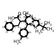 Cc1ccc(-c2c(C(Cc3ccccc3)C(=O)O)c(C)nc3cc(C(C)(C)C)nn23)cc1